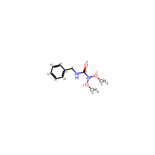 CON(OC)C(=O)NCc1ccccc1